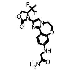 CC(F)(F)C1COC(=O)N1c1cn2c(n1)-c1ccc(NCC(N)=O)cc1OCC2